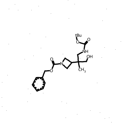 CC(C)(C)OC(=O)NCC(C)(CO)C1CN(C(=O)OCc2ccccc2)C1